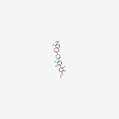 CCOc1ccc(-c2ccc(C3=CCC(C(=O)Oc4ccc(O)c(F)c4F)CC3)c(F)c2F)c(F)c1F